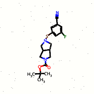 CC(C)(C)OC(=O)N1CC2CN(Sc3cc(F)cc(C#N)c3)CC2C1